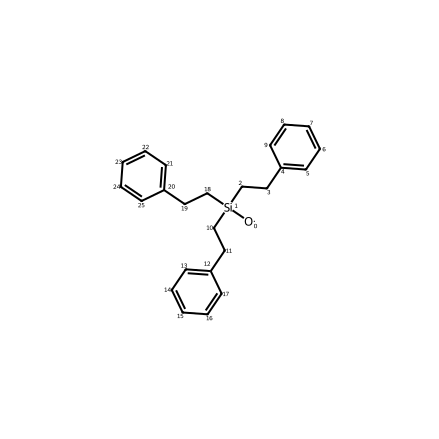 [O][Si](CCc1ccccc1)(CCc1ccccc1)CCc1ccccc1